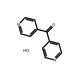 Cl.O=C(c1ccncc1)c1ccncc1